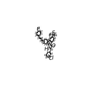 O=C(NCc1ccnc(Cl)c1)N1CC2(CCN(C/C=C/c3ccc(F)cc3)CC2)c2cc(C(F)(F)F)ccc21